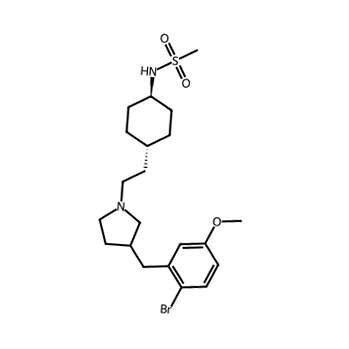 COc1ccc(Br)c(CC2CCN(CC[C@H]3CC[C@H](NS(C)(=O)=O)CC3)C2)c1